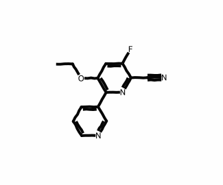 CCOc1cc(F)c(C#N)nc1-c1cccnc1